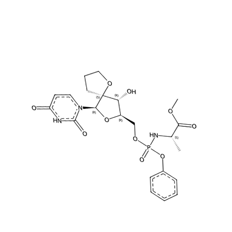 COC(=O)[C@H](C)NP(=O)(OC[C@H]1O[C@@H](n2ccc(=O)[nH]c2=O)[C@]2(CCCO2)[C@@H]1O)Oc1ccccc1